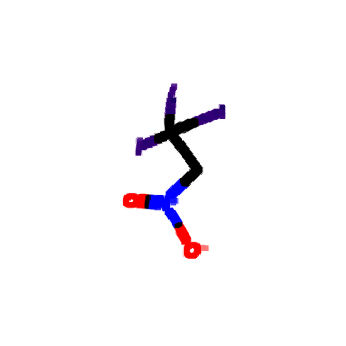 O=[N+]([O-])CC(I)(I)I